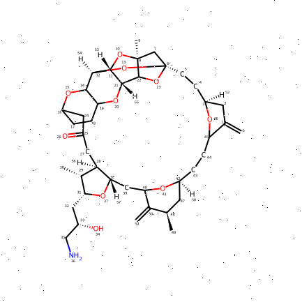 C=C1C[C@@H]2CC[C@@]34C[C@]5(C)O[C@H]6[C@@H](O3)C3OC(CCC3O[C@H]6C5O4)CC(=O)C[C@@H]3[C@@H](C)[C@@H](C[C@H](O)CN)O[C@H]3CC3O[C@@H](CCC1O2)C[C@@H](C)C3=C